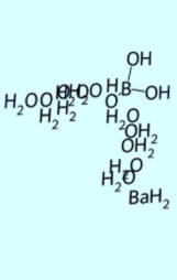 O.O.O.O.O.O.O.O.O.O.OB(O)O.[BaH2]